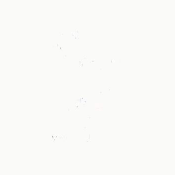 COc1ccc(NC(=O)c2ccc(C)c(CNc3cncnc3)c2)cc1C(F)(F)F